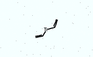 C=[CH][Ti][CH]=C